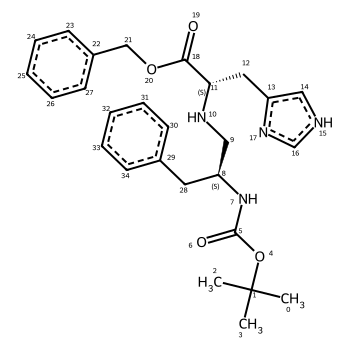 CC(C)(C)OC(=O)N[C@H](CN[C@@H](Cc1c[nH]cn1)C(=O)OCc1ccccc1)Cc1ccccc1